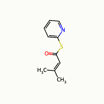 CC(C)=CC(=O)Sc1ccccn1